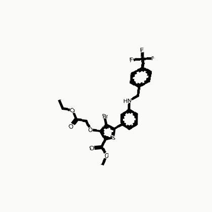 CCOC(=O)COc1c(C(=O)OC)sc(-c2cccc(NCc3ccc(C(F)(F)F)cc3)c2)c1Br